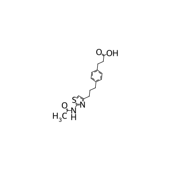 CC(=O)Nc1nc(CCCc2ccc(CCC(=O)O)cc2)cs1